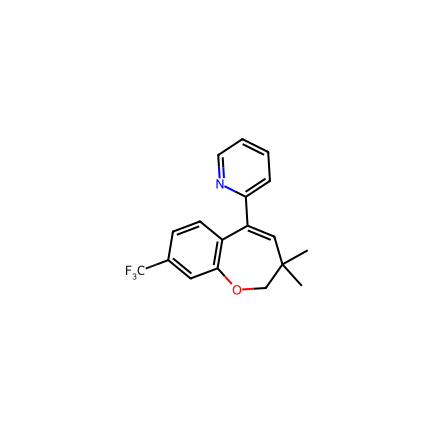 CC1(C)C=C(c2ccccn2)c2ccc(C(F)(F)F)cc2OC1